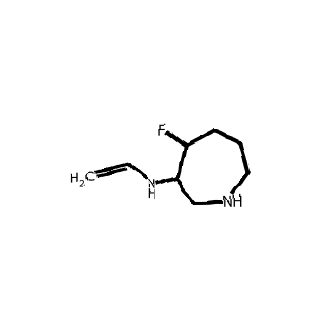 C=CNC1CNCCCC1F